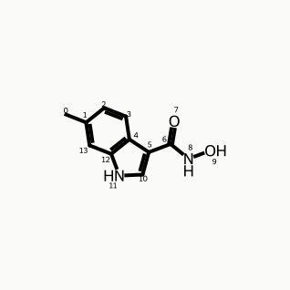 Cc1ccc2c(C(=O)NO)c[nH]c2c1